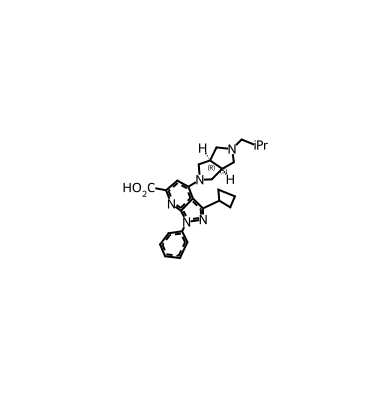 CC(C)CN1C[C@@H]2CN(c3cc(C(=O)O)nc4c3c(C3CCC3)nn4-c3ccccc3)C[C@@H]2C1